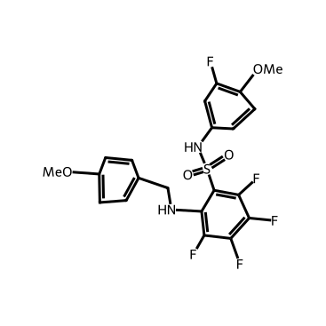 COc1ccc(CNc2c(F)c(F)c(F)c(F)c2S(=O)(=O)Nc2ccc(OC)c(F)c2)cc1